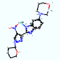 O=[N+]([O-])c1cn(C2CCCCO2)nc1-c1nc2ccc(N3CCCOCC3)cc2n1F